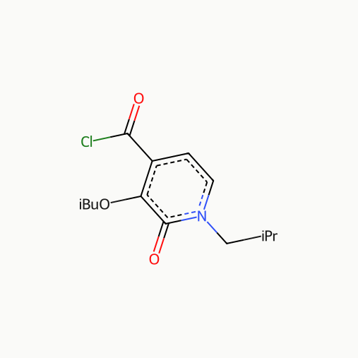 CC(C)COc1c(C(=O)Cl)ccn(CC(C)C)c1=O